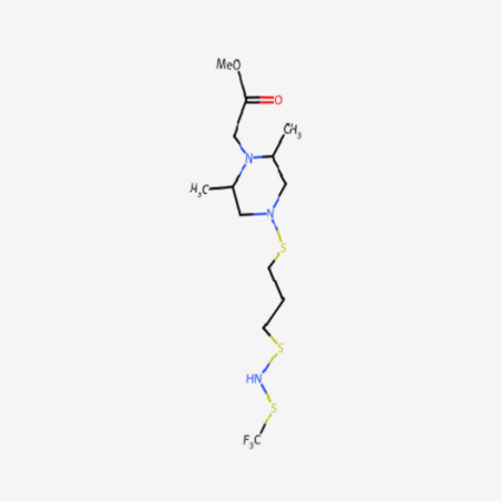 COC(=O)CN1C(C)CN(SCCCSNSC(F)(F)F)CC1C